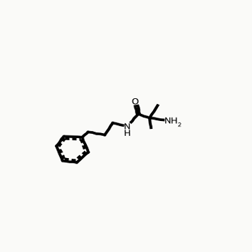 CC(C)(N)C(=O)NCCCc1ccccc1